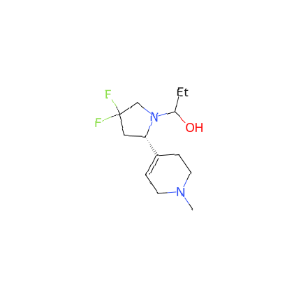 CCC(O)N1CC(F)(F)C[C@H]1C1=CCN(C)CC1